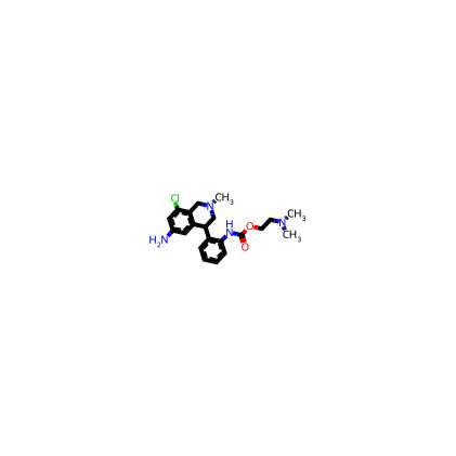 CN(C)CCOC(=O)Nc1ccccc1C1CN(C)Cc2c(Cl)cc(N)cc21